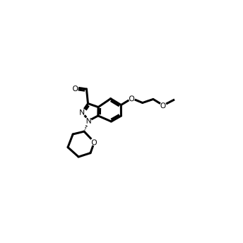 COCCOc1ccc2c(c1)c(C=O)nn2[C@H]1CCCCO1